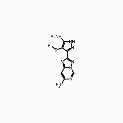 CCSc1c(-c2nc3cc(C(F)(F)F)ncn3n2)n[nH]c1NC(C)=O